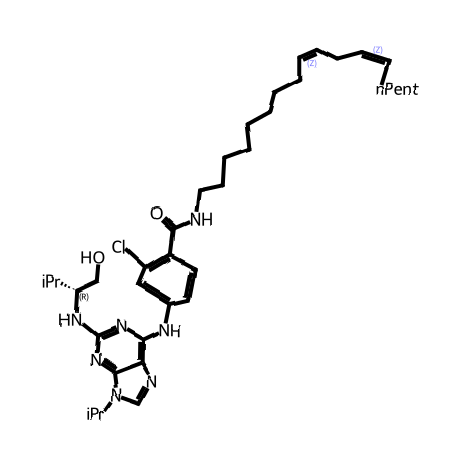 CCCCC/C=C\C/C=C\CCCCCCCCNC(=O)c1ccc(Nc2nc(N[C@@H](CO)C(C)C)nc3c2ncn3C(C)C)cc1Cl